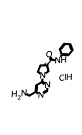 Cl.NCc1cc(N2CC[C@@H](C(=O)Nc3ccccc3)C2)ncn1